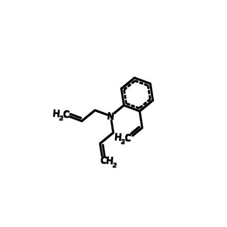 C=CCN(CC=C)c1ccccc1C=C